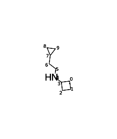 [CH]1CCC1NCCC1CC1